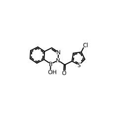 O=C(c1cc(Cl)cs1)N1N=Cc2ccccc2B1O